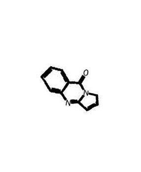 O=c1c2ccccc2nc2n1CC=C2